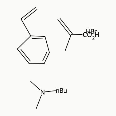 Br.C=C(C)C(=O)O.C=Cc1ccccc1.CCCCN(C)C